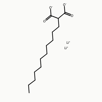 CCCCCCCCCCCC(C(=O)[O-])C(=O)[O-].[Li+].[Li+]